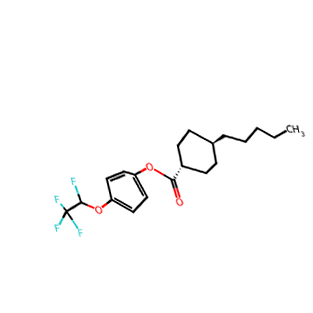 CCCCC[C@H]1CC[C@H](C(=O)Oc2ccc(OC(F)C(F)(F)F)cc2)CC1